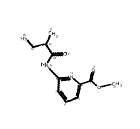 COC(=O)c1cccc(NC(=O)C(C)CS)n1